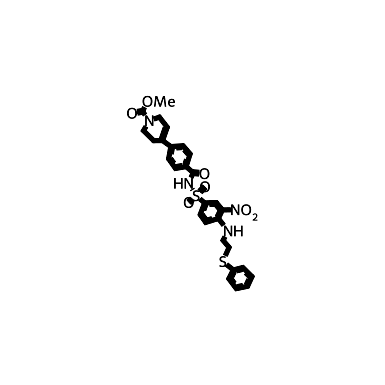 COC(=O)N1CC=C(c2ccc(C(=O)NS(=O)(=O)c3ccc(NCCSc4ccccc4)c([N+](=O)[O-])c3)cc2)CC1